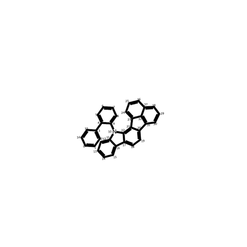 c1ccc(-c2ccccc2-n2c3ccccc3c3ccc4c(c32)-c2cccc3cccc-4c23)cc1